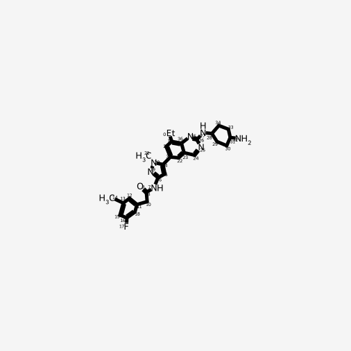 CCc1cc(-c2cc(NC(=O)Cc3cc(C)cc(F)c3)nn2C)cc2cnc(NC3CCC(N)CC3)nc12